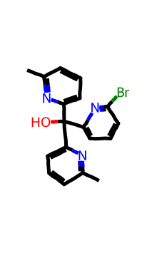 Cc1cccc(C(O)(c2cccc(C)n2)c2cccc(Br)n2)n1